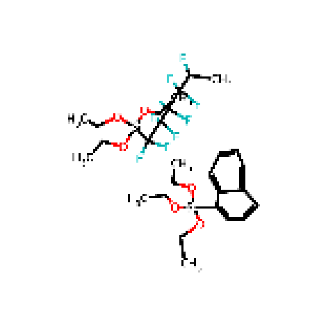 CCO[Si](OCC)(OCC)C(F)(F)C(F)(F)C(F)(F)C(F)(F)C(C)F.CCO[Si](OCC)(OCC)c1cccc2ccccc12